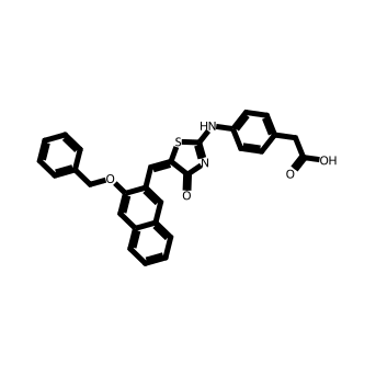 O=C(O)Cc1ccc(NC2=NC(=O)/C(=C\c3cc4ccccc4cc3OCc3ccccc3)S2)cc1